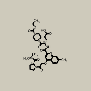 CCOC(=O)N1CCN(C(=O)[C@H](CCC(=O)O)NC(=O)c2cc(OCC(=O)N3CCC[C@H]3C(=O)N(C)C)c3ccc(C)cc3n2)CC1